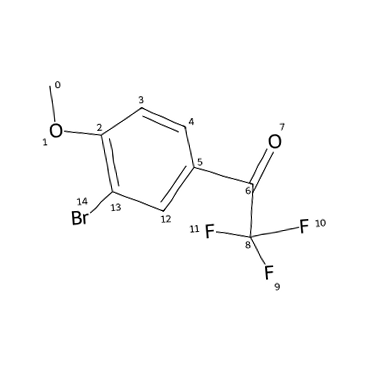 COc1ccc(C(=O)C(F)(F)F)cc1Br